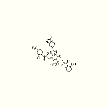 Cc1cnc2cc(-c3nc4n(CC(=O)Nc5ccc(C(F)(F)F)cc5Cl)c5c(c(=O)n4n3)C3(CCN(C(=O)c4ncccc4O)CC3)O[C@@H]5C)ccn12